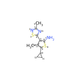 Cc1nsc(-c2c(N)sc(C3CC3)c2C)n1